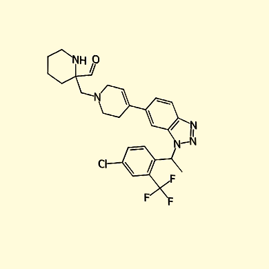 CC(c1ccc(Cl)cc1C(F)(F)F)n1nnc2ccc(C3=CCN(CC4(C=O)CCCCN4)CC3)cc21